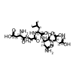 CC(C)C[C@H](NC(=O)[C@H](C)NC(=O)[C@@H](N)CC(=O)O)C(=O)N[C@@H](CC(N)=O)C(=O)N[C@@H](CC(=O)O)C(=O)O